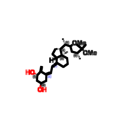 C=C1/C(=C\C=C2/CCC[C@]3(C)[C@@H]([C@H](C)C(C[C@@H](C)C(C)(C)OC)OC)CC[C@@H]23)C[C@@H](O)C[C@@H]1O